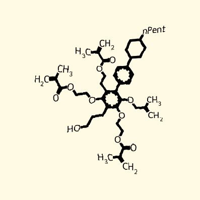 C=C(C)COc1c(OCCOC(=O)C(=C)C)c(CCCO)c(OCCOC(=O)C(=C)C)c(CCOC(=O)C(=C)C)c1-c1ccc(C2CCC(CCCCC)CC2)cc1